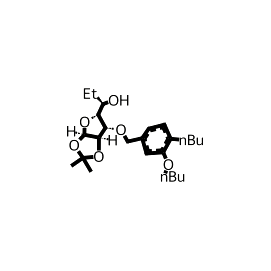 CCCCOc1cc(CO[C@@H]2[C@H]3OC(C)(C)O[C@H]3O[C@@H]2[C@H](O)CC)ccc1CCCC